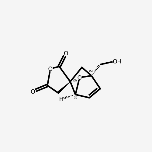 O=C1C[C@]2(C[C@@]3(CO)C=C[C@@H]2O3)C(=O)O1